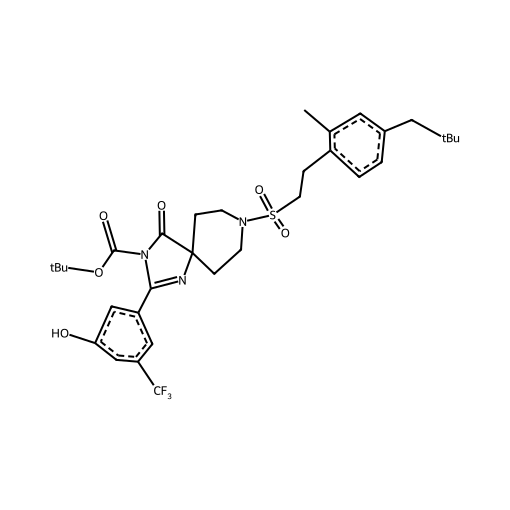 Cc1cc(CC(C)(C)C)ccc1CCS(=O)(=O)N1CCC2(CC1)N=C(c1cc(O)cc(C(F)(F)F)c1)N(C(=O)OC(C)(C)C)C2=O